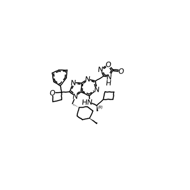 C[C@@H](Nc1nc(-c2noc(=O)[nH]2)nc2nc(C3(c4ccccc4)CCO3)n(C[C@H]3CC[C@H](C)CC3)c12)C1CCC1